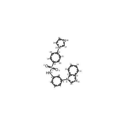 O=S(=O)(Nc1cccc(-n2cnc3ccccc32)c1)c1ccc(-n2ccnc2)cc1